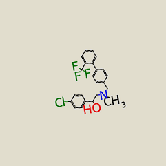 CN(Cc1ccc(-c2ccccc2C(F)(F)F)cc1)CC(O)c1ccc(Cl)cc1